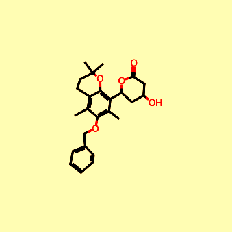 Cc1c2c(c(C3CC(O)CC(=O)O3)c(C)c1OCc1ccccc1)OC(C)(C)CC2